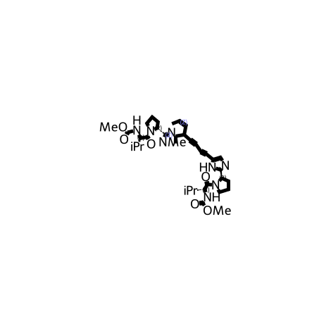 C/C=C\C(C#CC#Cc1cnc([C@H]2CCCN2C(=O)[C@H](NC(=O)OC)C(C)C)[nH]1)C(C)/N=C(\NC)[C@H]1CCCN1C(=O)[C@H](NC(=O)OC)C(C)C